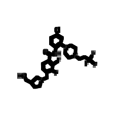 O=C(Nc1ccc(Cl)cc1N1CCN(CCC(F)(F)F)CC1)c1ccc(CN2CCC(CO)C2)c(F)c1F